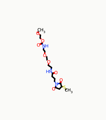 COCCOC(=O)NCCOCCOCCNC(=O)CCCN1C(=O)CC(SC)C1=O